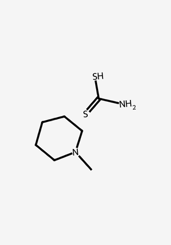 CN1CCCCC1.NC(=S)S